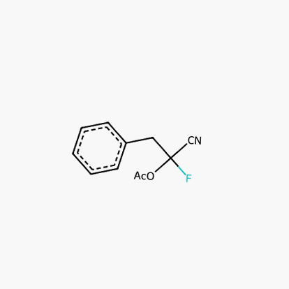 CC(=O)OC(F)(C#N)Cc1ccccc1